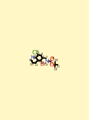 CN(Cc1cc(Cl)c2ncccc2c1Br)C(=O)OC(C)(C)C